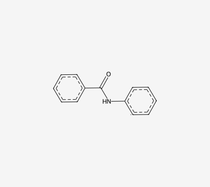 O=C(Nc1[c]cccc1)c1ccccc1